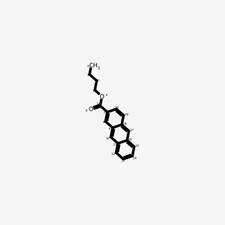 CCCCOC(=O)c1[c]c2cc3ccccc3cc2cc1